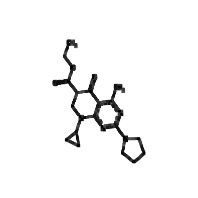 CCOC(=O)C1CN(C2CC2)c2nc(N3CCCC3)nc(C)c2C1=O